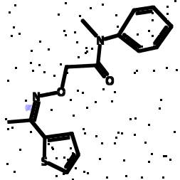 C/C(=N/OCC(=O)N(C)c1ccccc1)c1cccs1